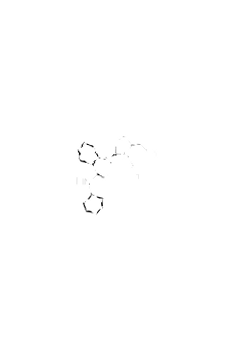 CC(C)CC1CS/C(=N\c2ccccc2C(=O)Nc2ccccc2)N1CC(C)C